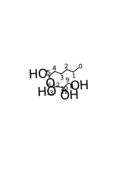 CCCCCC(=O)O.OCC(O)CO